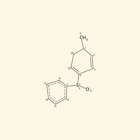 CC1C=CC([S+]([O-])c2ccccc2)=CC1